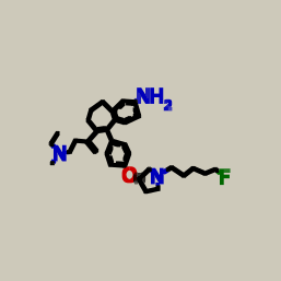 C=C(CCN(C)CC)C1=C(c2ccc(O[C@H]3CCN(CCCCCF)C3)cc2)c2ccc(N)cc2CCC1